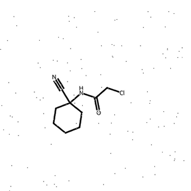 N#CC1(NC(=O)CCl)CCCCC1